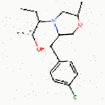 CCC([C@@H](C)O)N1CC(C)OCC1Cc1ccc(Cl)cc1